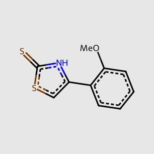 COc1ccccc1-c1csc(=S)[nH]1